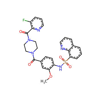 COc1cc(C(=O)N2CCN(C(=O)c3ncccc3F)CC2)ccc1NS(=O)(=O)c1cccc2cccnc12